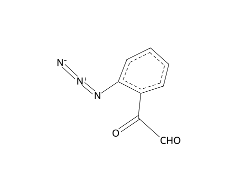 [N-]=[N+]=Nc1ccccc1C(=O)C=O